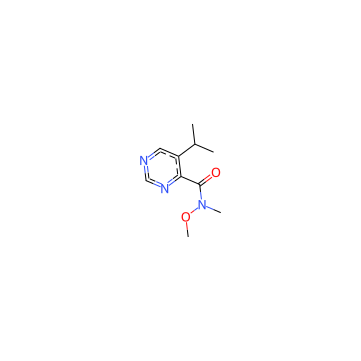 CON(C)C(=O)c1ncncc1C(C)C